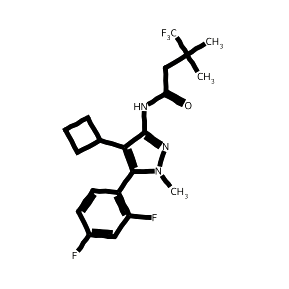 Cn1nc(NC(=O)CC(C)(C)C(F)(F)F)c(C2CCC2)c1-c1ccc(F)cc1F